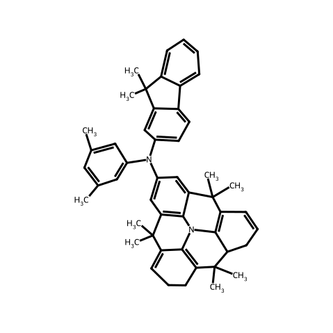 Cc1cc(C)cc(N(c2cc3c4c(c2)C(C)(C)C2=C5C(CC=C2)C(C)(C)C2=C(C(=CCC2)C3(C)C)N54)c2ccc3c(c2)C(C)(C)c2ccccc2-3)c1